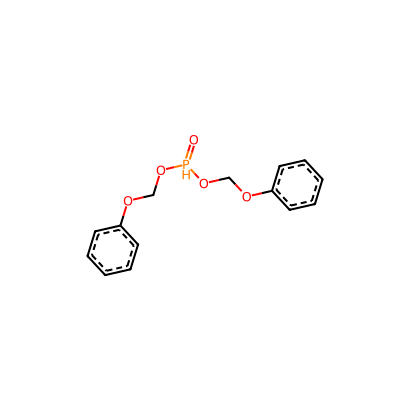 O=[PH](OCOc1ccccc1)OCOc1ccccc1